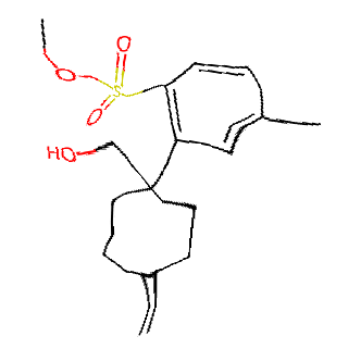 C=C1CCC(CO)(c2cc(C)ccc2S(=O)(=O)OC)CC1